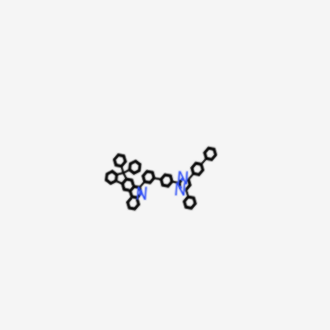 c1ccc(-c2ccc(-c3cc(-c4ccccc4)nc(-c4ccc(-c5cccc(-c6nc7ccccc7c7cc8c(cc67)C(c6ccccc6)(c6ccccc6)c6ccccc6-8)c5)cc4)n3)cc2)cc1